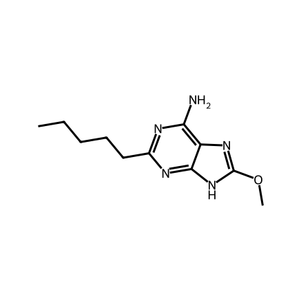 CCCCCc1nc(N)c2nc(OC)[nH]c2n1